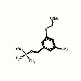 COCOc1cc(C)cc(CO[Si](C)(C)C(C)(C)C)c1